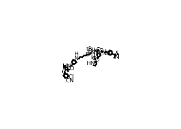 Cc1ncsc1-c1ccc([C@H](C)NC(=O)[C@@H]2CC(OC(=O)[C@@H]3CCCN3)CN2C(=O)[C@@H](NC(=O)COCCCCCNc2ccc(C(=O)N[C@H]3C(C)(C)[C@H](Oc4ccc(C#N)c(Cl)c4)C3(C)C)cc2)C(C)(C)C)cc1